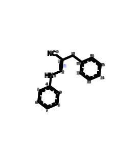 N#C/C(=C\Nc1ccccc1)Cc1ccccc1